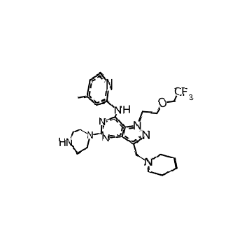 Cc1ccnc(Nc2nc(N3CCNCC3)nc3c(CN4CCCCC4)nn(CCOCC(F)(F)F)c23)c1